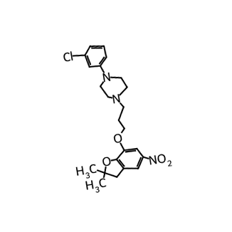 CC1(C)Cc2cc([N+](=O)[O-])cc(OCCCN3CCN(c4cccc(Cl)c4)CC3)c2O1